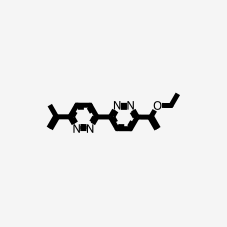 C=C(C)c1ccc(-c2ccc(C(=C)OCC)nn2)nn1